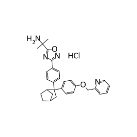 CC(C)(N)c1nc(-c2ccc(C3(c4ccc(OCc5ccccn5)cc4)CC4CCC3C4)cc2)no1.Cl